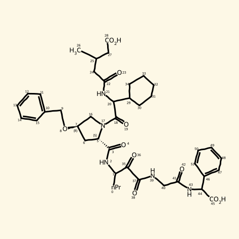 CCCC(NC(=O)[C@@H]1C[C@@H](OCc2ccccc2)CN1C(=O)C(NC(=O)CC(C)CC(=O)O)C1CCCCC1)C(=O)C(=O)NCC(=O)NC(C(=O)O)c1ccccc1